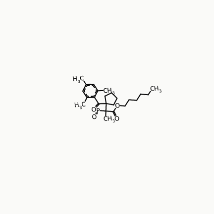 CCCCCCOC(=O)C(C)(P=O)C1(C(=O)c2c(C)cc(C)cc2C)CCCC1